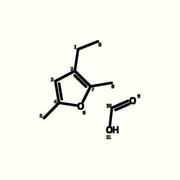 CCc1cc(C)oc1C.O=CO